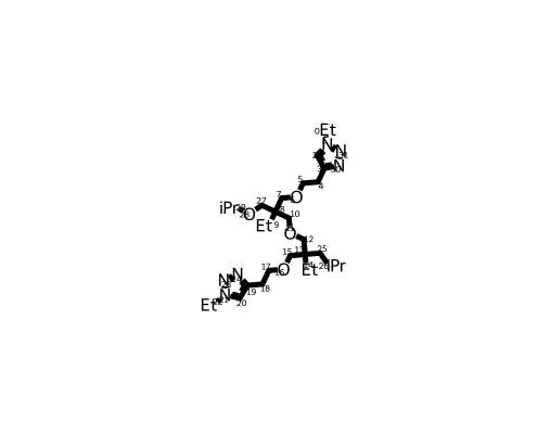 CCn1cc(CCOCC(CC)(COCC(CC)(COCCc2cn(CC)nn2)CC(C)C)COC(C)C)nn1